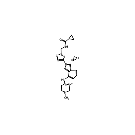 CN1CC[C@@H](Nc2cccc3c([C@@H]4CO4)n(-c4noc(CNC(=O)C5CC5)n4)nc23)[C@@H](F)C1